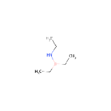 CCNB(CC)CC